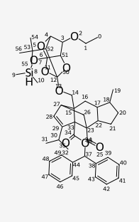 CCOC1C2OC3(O[SiH](C)C)OC(OCC45CC6C(C)CCC6C6(C=O)CC4C=C(C(C)C)C65C(=O)OC(c4ccccc4)c4ccccc4)(OC13)C2C(C)(C)C